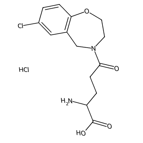 Cl.NC(CCC(=O)N1CCOc2ccc(Cl)cc2C1)C(=O)O